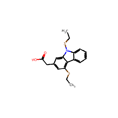 CCSc1cc(CC(=O)O)cc2c1c1ccccc1n2SCC